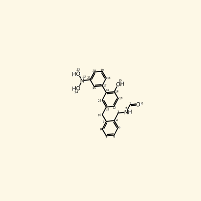 O=CNCc1ccccc1Cc1ccc(O)c(-c2cccc(N(O)O)c2)c1